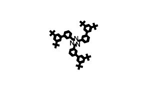 CC(C)(C)c1cc(-c2cccc(-c3nc(-c4cccc(-c5cc(C(C)(C)C)cc(C(C)(C)C)c5)c4)nc(-c4cccc(-c5cc(C(C)(C)C)cc(C(C)(C)C)c5)c4)n3)c2)cc(C(C)(C)C)c1